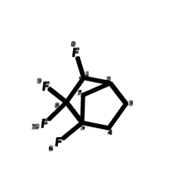 F[C]1C2CCC(F)(C2)C1(F)F